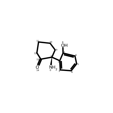 N[C@]1(c2ccccc2O)CCCCC1=O